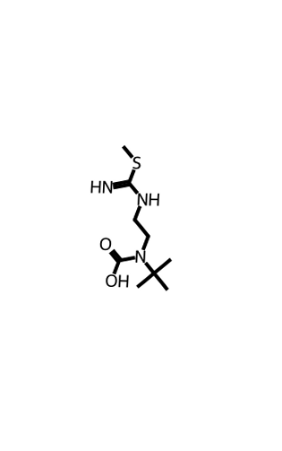 CSC(=N)NCCN(C(=O)O)C(C)(C)C